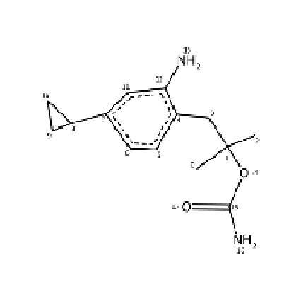 CC(C)(Cc1ccc(C2CC2)cc1N)OC(N)=O